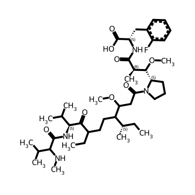 CCC(CCC(C(CC(=O)N1CCC[C@H]1C(OC)[C@@H](C)C(=O)N[C@@H](Cc1ccccc1F)C(=O)O)OC)[C@@H](C)CC)C(=O)[C@@H](NC(=O)C(NC)C(C)C)C(C)C